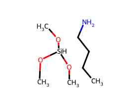 CCCCN.CO[SiH](OC)OC